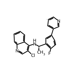 C[C@@H](Nc1c(Cl)cnc2ccccc12)c1cc(-c2c[c]cnc2)ccc1F